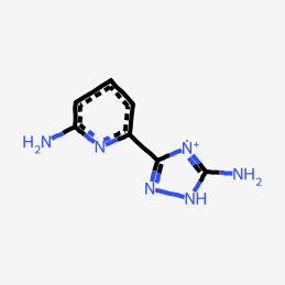 NC1=[N+]C(c2cccc(N)n2)=NN1